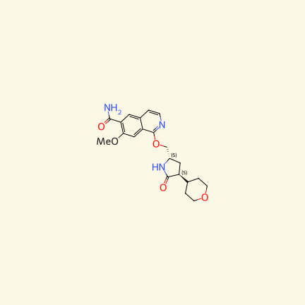 COc1cc2c(OC[C@@H]3C[C@@H](C4CCOCC4)C(=O)N3)nccc2cc1C(N)=O